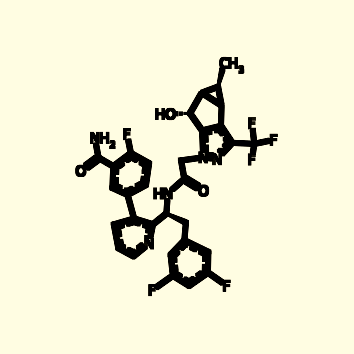 C[C@H]1C2c3c(C(F)(F)F)nn(CC(=O)N[C@@H](Cc4cc(F)cc(F)c4)c4ncccc4-c4ccc(F)c(C(N)=O)c4)c3[C@H](O)C21